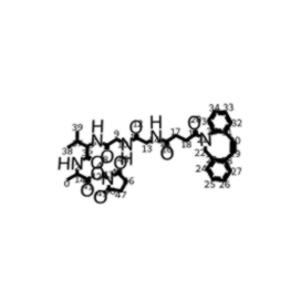 CC(NC(=O)C(NC(=O)CNC(=O)CNC(=O)CCC(=O)N1Cc2ccccc2C#Cc2ccccc21)C(C)C)C(=O)ON1C(=O)CCC1=O